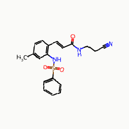 Cc1ccc(/C=C/C(=O)NCCC#N)c(NS(=O)(=O)c2ccccc2)c1